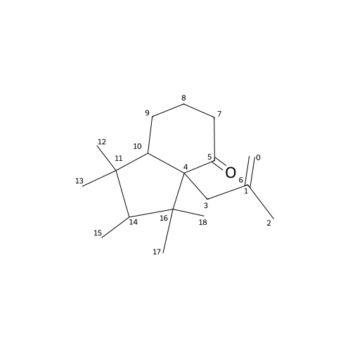 C=C(C)CC12C(=O)CCCC1C(C)(C)C(C)C2(C)C